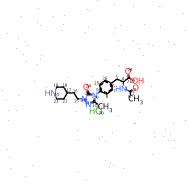 CC(=O)NC(Cc1ccc(-n2c(C)nn(CCC3CCNCC3)c2=O)cc1)C(=O)O.Cl